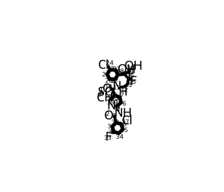 CS(=O)(=O)O.O=C(Nc1ccc(C(=O)N2CCC(F)(F)C(O)(CO)c3cc(Cl)ccc32)cn1)c1cc(F)ccc1Cl